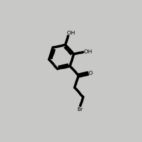 O=C(CCBr)c1cccc(O)c1O